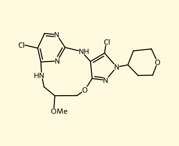 COC1CNc2nc(ncc2Cl)Nc2c(nn(C3CCOCC3)c2Cl)OC1